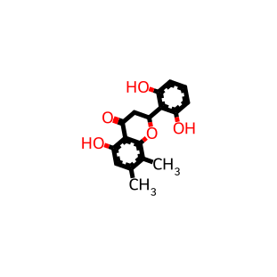 Cc1cc(O)c2c(c1C)OC(c1c(O)cccc1O)CC2=O